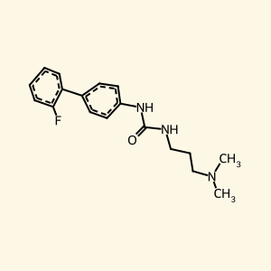 CN(C)CCCNC(=O)Nc1ccc(-c2ccccc2F)cc1